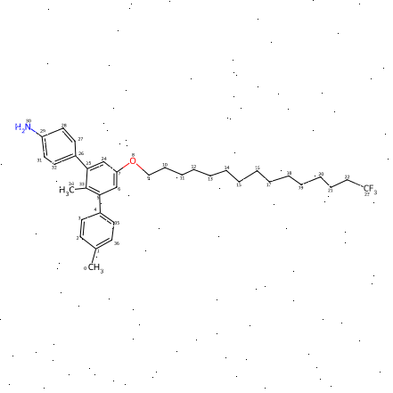 Cc1ccc(-c2cc(OCCCCCCCCCCCCCCC(F)(F)F)cc(-c3ccc(N)cc3)c2C)cc1